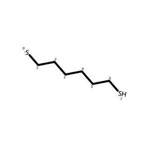 [S]CCCCCCS